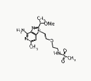 COC(C)c1nc2c(N)nc(C)cc2n1CCOCCNS(C)(=O)=O